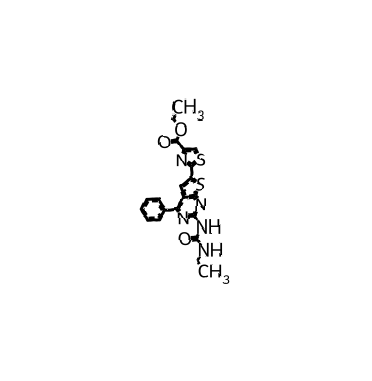 CCNC(=O)Nc1nc(-c2ccccc2)c2cc(-c3nc(C(=O)OCC)cs3)sc2n1